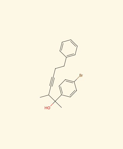 CC(C#CCCc1ccccc1)C(C)(O)c1ccc(Br)cc1